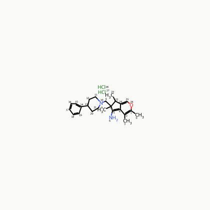 CC1=C(C)C2=C(N)C(C)(CN3CCC(c4ccccc4)CC3)C(C)C2=CO1.Cl.Cl